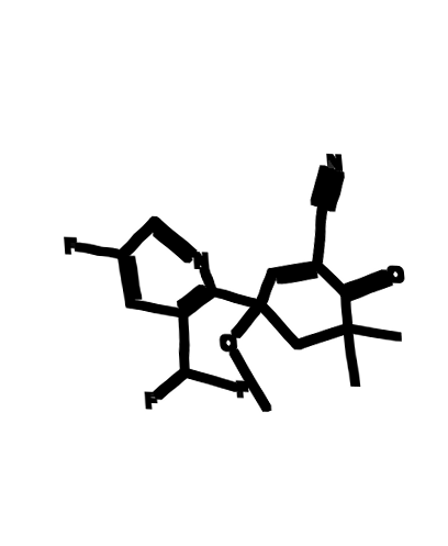 COC1(c2ncc(F)cc2C(F)F)C=C(C#N)C(=O)C(C)(C)C1